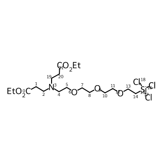 CCOC(=O)CCN(CCOCCOCCOCC[Si](Cl)(Cl)Cl)CCC(=O)OCC